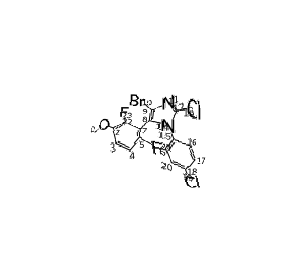 COc1ccc(F)c(-c2c(Br)nc(Cl)n2-c2ccc(Cl)cc2)c1F